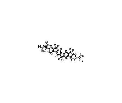 CCC(CC)c1ccc2c(c1)C(C)(C)c1cc3c(cc1-2)C(C)(C)c1cc2c(cc1-3)C(C)(C)c1cc(C(N)(CC)CC)ccc1-2